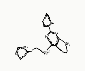 c1ccc(-c2nc(NCCc3cnc[nH]3)c3c(n2)NCC3)cc1